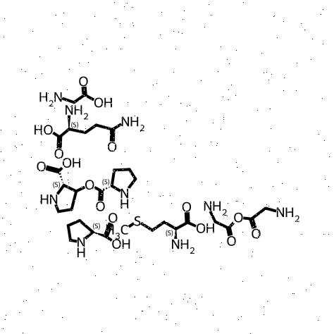 CSCC[C@H](N)C(=O)O.NC(=O)CC[C@H](N)C(=O)O.NCC(=O)O.NCC(=O)OC(=O)CN.O=C(O)[C@@H]1CCCN1.O=C(OC1CCN[C@@H]1C(=O)O)[C@@H]1CCCN1